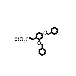 CCOC(=O)C=Cc1ccc(OCc2ccccc2)cc1OCc1ccccc1